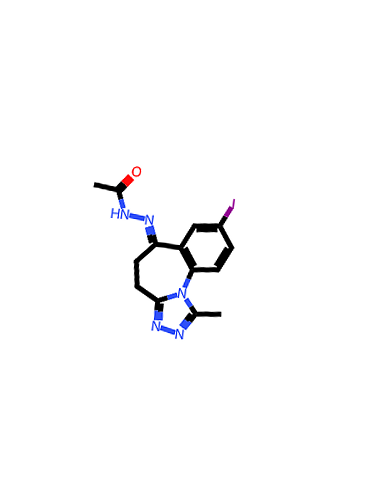 CC(=O)N/N=C1\CCc2nnc(C)n2-c2ccc(I)cc21